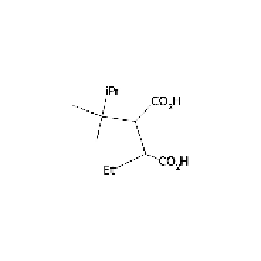 CCC(C(=O)O)C(C(=O)O)C(C)(C)C(C)C